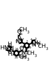 CCn1ccc(-c2cc(-c3cnn(CCOC)c3)cc([C@@H](C)NC(=O)c3cc(N4C[C@H]5C[C@@H]4CN5)ccc3C)c2)n1